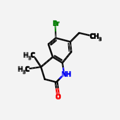 CCc1cc2c(cc1Br)C(C)(C)CC(=O)N2